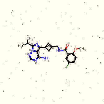 COc1ccc(F)cc1C(=O)NCC12CC(c3nc(C(C)C)n4ncnc(N)c34)(C1)C2